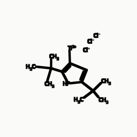 CC(C)(C)c1c[c]([Ti+3])c(C(C)(C)C)[pH]1.[Cl-].[Cl-].[Cl-]